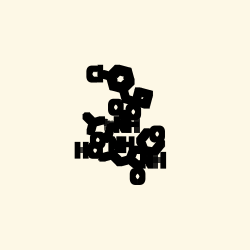 CC(C)C[C@H](NC(=O)OC1(Cc2cccc(Cl)c2)CCC1)C(=O)NC(CO)CC1CC2(CCOCC2)NC1=O